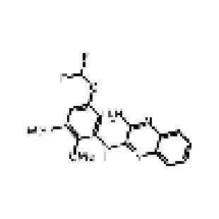 COc1cc(OC(F)F)cc(Nc2nc3ccccc3nc2N)c1OC